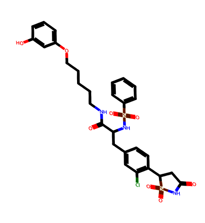 O=C1CC(c2ccc(CC(NS(=O)(=O)c3ccccc3)C(=O)NCCCCCOc3cccc(O)c3)cc2Cl)S(=O)(=O)N1